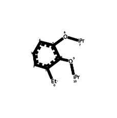 C[CH]c1cccc(OC(C)C)c1OC(C)C